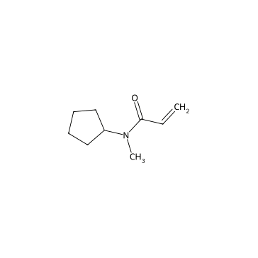 C=CC(=O)N(C)C1CCCC1